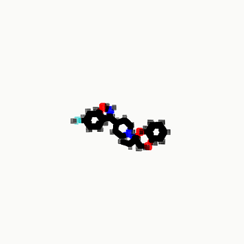 CCC1(N2CCC(c3noc4cc(F)ccc34)CC2)COc2ccccc2O1